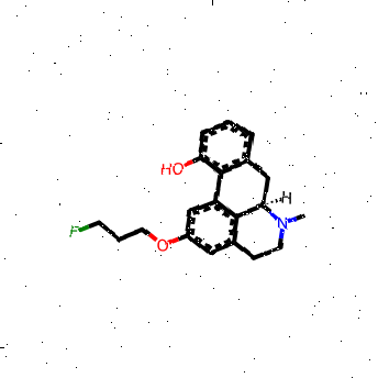 CN1CCc2cc(OCCCF)cc3c2[C@H]1Cc1cccc(O)c1-3